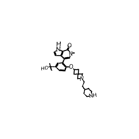 Cn1cc(-c2cc(C(C)(C)O)ccc2OC2CC3(C2)CN(CCC2CCNCC2)C3)c2cc[nH]c2c1=O